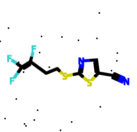 N#Cc1cnc(SCCC(F)=C(F)F)s1